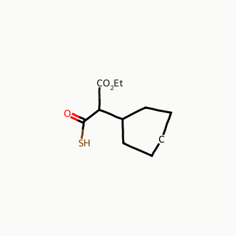 CCOC(=O)C(C(=O)S)C1CCCCC1